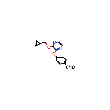 O=Cc1ccc(Oc2nccnc2OCC2CC2)cc1